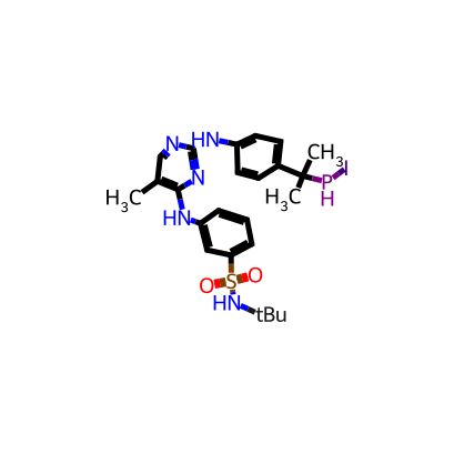 Cc1cnc(Nc2ccc(C(C)(C)PI)cc2)nc1Nc1cccc(S(=O)(=O)NC(C)(C)C)c1